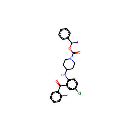 O=C(c1ccccc1F)c1cc(Cl)ccc1NC1CCN(C(=O)OC(I)c2ccccc2)CC1